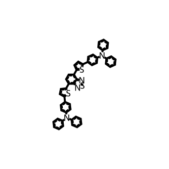 c1ccc(N(c2ccccc2)c2ccc(-c3ccc(-c4ccc(-c5ccc(-c6ccc(N(c7ccccc7)c7ccccc7)cc6)s5)c5nsnc45)s3)cc2)cc1